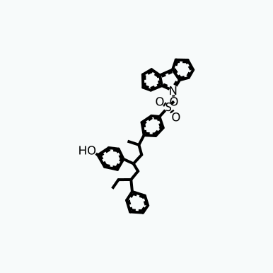 CCC(CC(CC(C)c1ccc(S(=O)(=O)On2c3ccccc3c3ccccc32)cc1)c1ccc(O)cc1)c1ccccc1